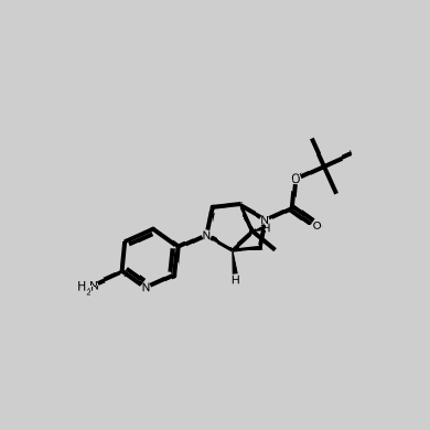 C[C@H]1C2CN(c3ccc(N)nc3)[C@H]1CN2C(=O)OC(C)(C)C